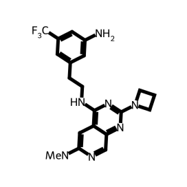 CNc1cc2c(NCCc3cc(N)cc(C(F)(F)F)c3)nc(N3CCC3)nc2cn1